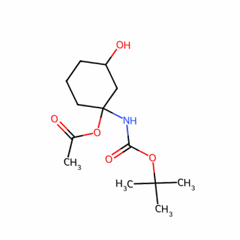 CC(=O)OC1(NC(=O)OC(C)(C)C)CCCC(O)C1